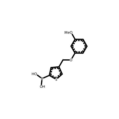 COc1cccc(OCc2csc(B(O)O)c2)c1